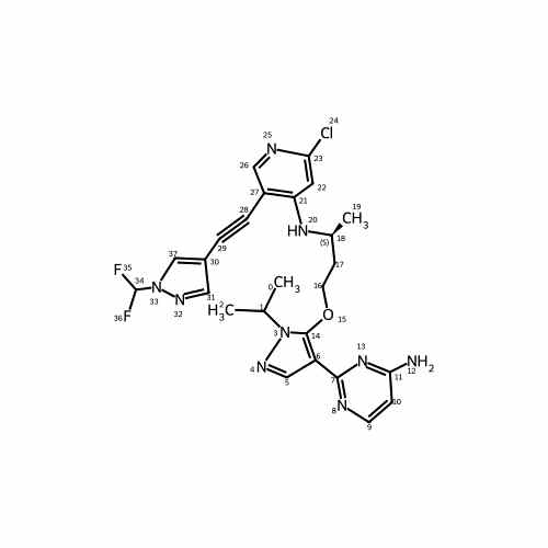 CC(C)n1ncc(-c2nccc(N)n2)c1OCC[C@H](C)Nc1cc(Cl)ncc1C#Cc1cnn(C(F)F)c1